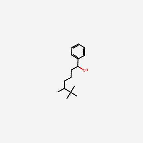 CC(CCCC(O)c1ccccc1)C(C)(C)C